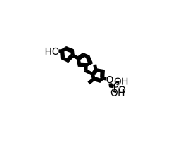 Cc1cc(OCP(=O)(O)O)cc(C)c1Cc1cccc(-c2ccc(O)cc2)c1